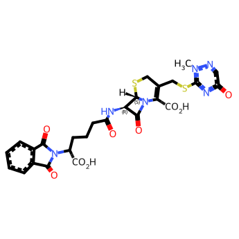 Cn1ncc(=O)nc1SCC1=C(C(=O)O)N2C(=O)[C@@H](NC(=O)CCCC(C(=O)O)N3C(=O)c4ccccc4C3=O)[C@@H]2SC1